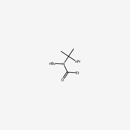 CCCCN(C(=O)CC)C(C)(C)CCC